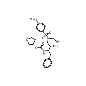 COc1ccc(S(=O)(=O)N(CC(C)C)C[C@H](O)C(Cc2ccccc2)NC(=O)O[C@H]2CCOC2)cc1